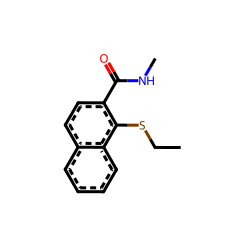 CCSc1c(C(=O)NC)ccc2ccccc12